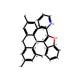 Cc1cc(C)c2c(c1)Cc1cc(C)cc(C)c1B2c1c(-c2ccccn2)oc2ccccc12